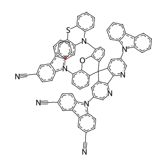 N#Cc1ccc2c(c1)c1cc(C#N)ccc1n2-c1cnc2c(c1)C1(c3cc(-n4c5ccccc5c5ccccc54)cnc3-2)c2cccc(N3c4ccccc4Sc4ccccc43)c2Oc2c(-n3c4ccccc4c4cc(C#N)ccc43)cccc21